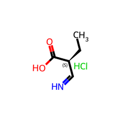 CC[C@@H](C=N)C(=O)O.Cl